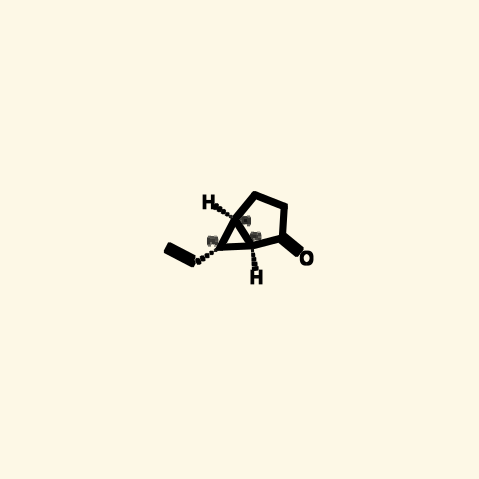 C=C[C@@H]1[C@H]2CCC(=O)[C@@H]12